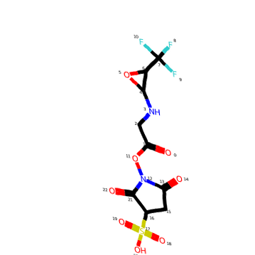 O=C(CNC1OC1C(F)(F)F)ON1C(=O)CC(S(=O)(=O)O)C1=O